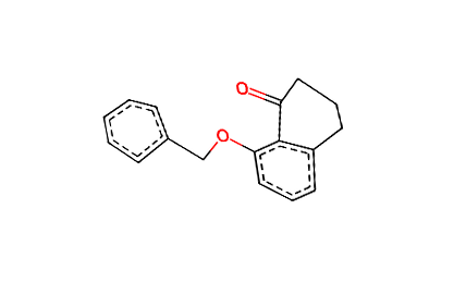 O=C1CCCc2cccc(OCc3ccccc3)c21